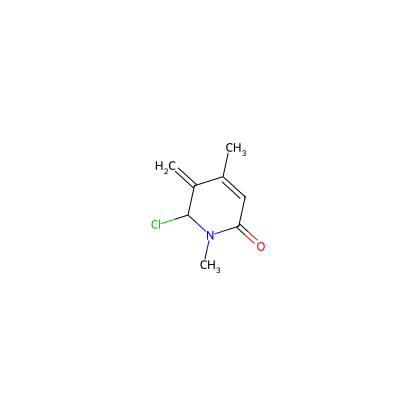 C=C1C(C)=CC(=O)N(C)C1Cl